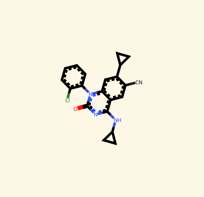 N#Cc1cc2c(NC3CC3)nc(=O)n(-c3ccccc3Cl)c2cc1C1CC1